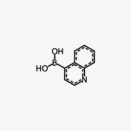 OB(O)c1ccnc2ccccc12